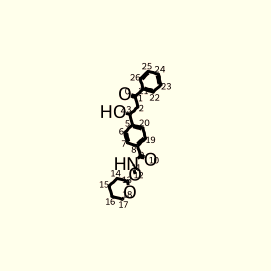 O=C(CC(O)c1ccc(C(=O)NOC2CCCCO2)cc1)c1ccccc1